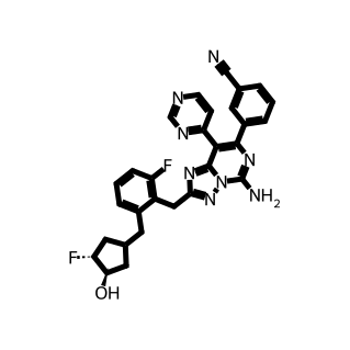 N#Cc1cccc(-c2nc(N)n3nc(Cc4c(F)cccc4CC4C[C@@H](O)[C@H](F)C4)nc3c2-c2ccncn2)c1